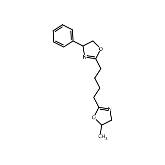 CC1CN=C(CCCCC2=NC(c3ccccc3)CO2)O1